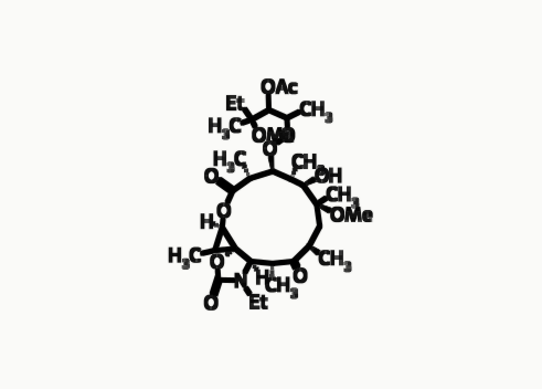 CCN1C(=O)O[C@]23C(C)[C@H]2OC(=O)[C@H](C)[C@@H](OOC(C)C(OC(C)=O)C(C)(CC)OC)[C@H](C)[C@@H](O)[C@@](C)(OC)C[C@@H](C)C(=O)[C@H](C)[C@@H]13